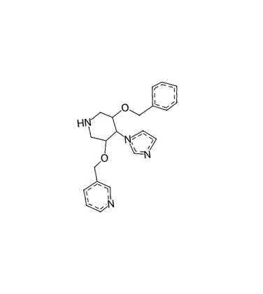 c1ccc(COC2CNCC(OCc3cccnc3)C2n2ccnc2)cc1